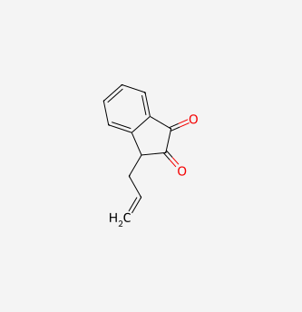 C=CCC1C(=O)C(=O)c2ccccc21